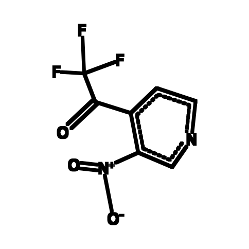 O=C(c1ccncc1[N+](=O)[O-])C(F)(F)F